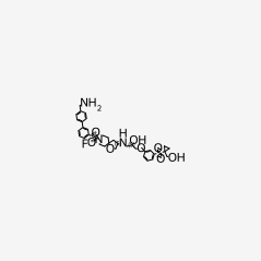 NCc1ccc(-c2ccc(F)c(S(=O)(=O)N3CCC4(CC3)C[C@H](NC[C@H](O)COc3cccc(S(=O)(=O)C5(CO)CC5)c3)CO4)c2)cc1